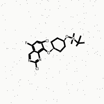 CC(C)(C)[Si](C)(C)O[C@H]1CC[C@@H](Oc2c(Cl)cc(F)c3cnc(Cl)nc23)CC1